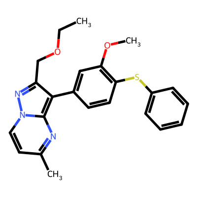 CCOCc1nn2ccc(C)nc2c1-c1ccc(Sc2ccccc2)c(OC)c1